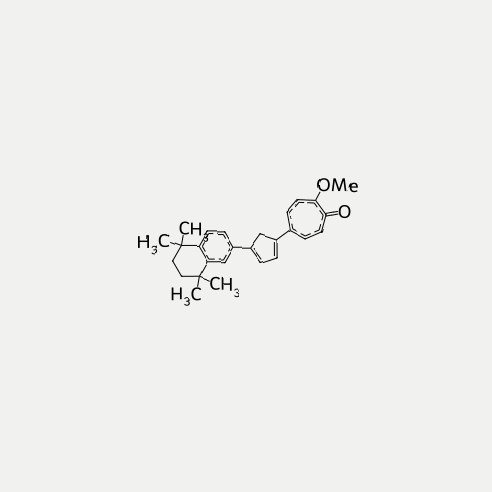 COc1ccc(C2=CC=C(c3ccc4c(c3)C(C)(C)CCC4(C)C)C2)ccc1=O